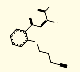 N#CCCCOc1ccccc1C(=O)/C=C(/O)C(=O)O